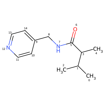 CC(C)C(C)C(=O)NCc1ccncc1